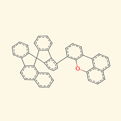 c1ccc2c(c1)-c1ccc3ccccc3c1C21c2ccccc2-c2c(-c3cccc4c3Oc3cccc5cccc-4c35)cccc21